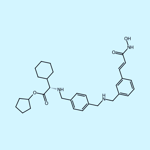 O=C(/C=C/c1cccc(CNCc2ccc(CN[C@H](C(=O)OC3CCCC3)C3CCCCC3)cc2)c1)NO